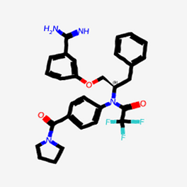 N=C(N)c1cccc(OC[C@@H](Cc2ccccc2)N(C(=O)C(F)(F)F)c2ccc(C(=O)N3CCCC3)cc2)c1